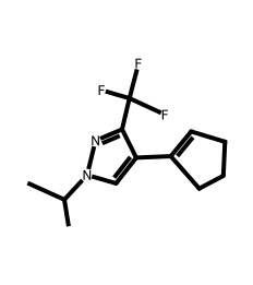 CC(C)n1cc(C2=CCCC2)c(C(F)(F)F)n1